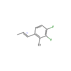 C/C=C/c1ccc(F)c(F)c1CC